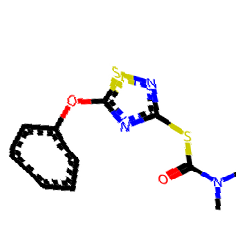 CN(C)C(=O)Sc1nsc(Oc2ccccc2)n1